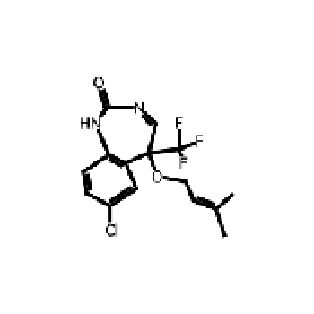 CC(C)=CCOC1(C(F)(F)F)C=NC(=O)Nc2ccc(Cl)cc21